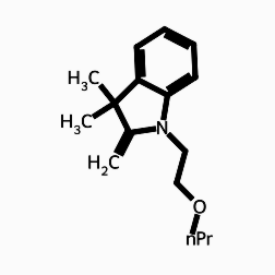 C=C1N(CCOCCC)c2ccccc2C1(C)C